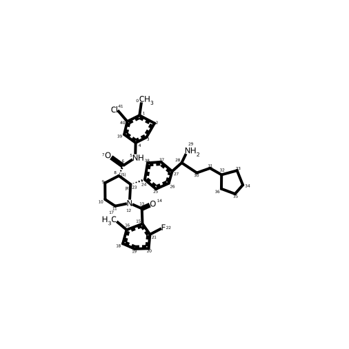 Cc1ccc(NC(=O)[C@H]2CCCN(C(=O)c3c(C)cccc3F)[C@H]2c2ccc(C(N)CCC3CCCC3)cc2)cc1Cl